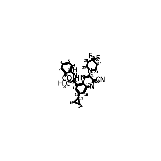 C[C@@H](Nc1ccccc1C(=O)O)c1cc(C2CC2)cc2nc(C#N)c(N3CCC(F)(F)CC3)nc12